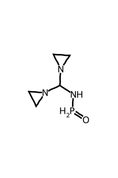 O=[PH2]NC(N1CC1)N1CC1